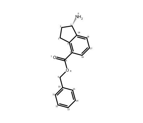 N[C@H]1CCc2c(C(=O)OCc3ccccc3)cccc21